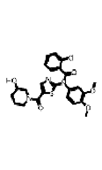 COc1ccc(N(C(=O)c2ccccc2Cl)c2ncc(C(=O)N3CCCC(O)C3)s2)cc1OC